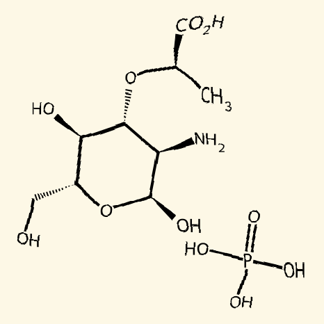 C[C@@H](O[C@@H]1[C@@H](N)[C@@H](O)O[C@H](CO)[C@H]1O)C(=O)O.O=P(O)(O)O